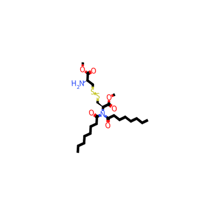 CCCCCCCC(=O)N(C(=O)CCCCCCC)[C@@H](CSSC[C@H](N)C(=O)OC)C(=O)OC